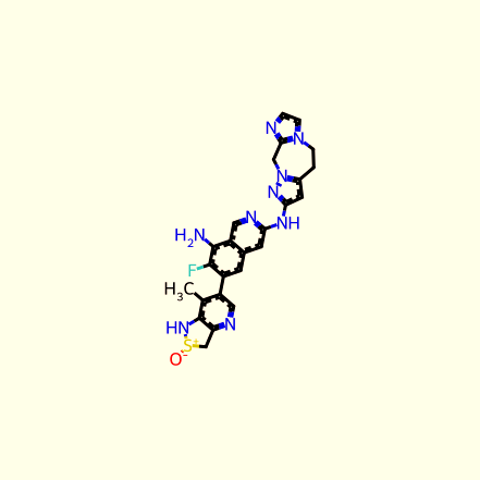 Cc1c(-c2cc3cc(Nc4cc5n(n4)Cc4nccn4CC5)ncc3c(N)c2F)cnc2c1N[S+]([O-])C2